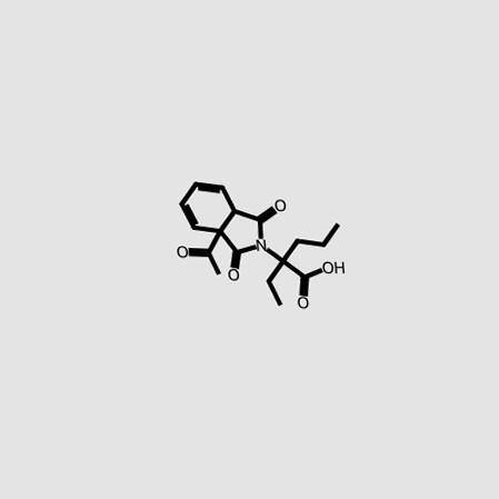 CCCC(CC)(C(=O)O)N1C(=O)C2C=CC=CC2(C(C)=O)C1=O